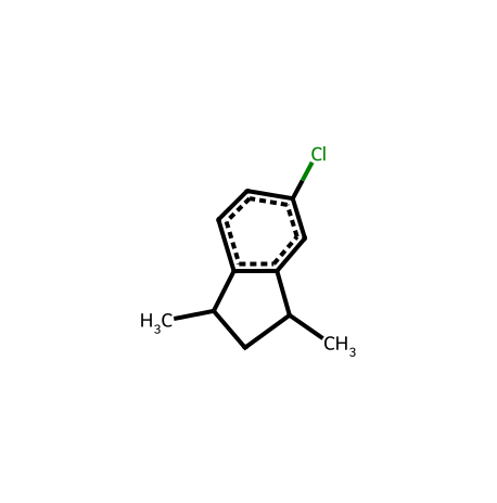 CC1CC(C)c2cc(Cl)ccc21